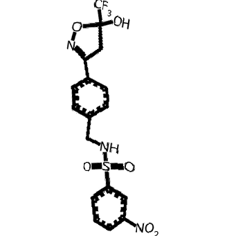 O=[N+]([O-])c1cccc(S(=O)(=O)NCc2ccc(C3=NOC(O)(C(F)(F)F)C3)cc2)c1